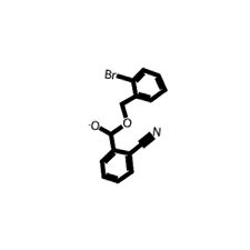 N#Cc1ccccc1C([O])OCc1ccccc1Br